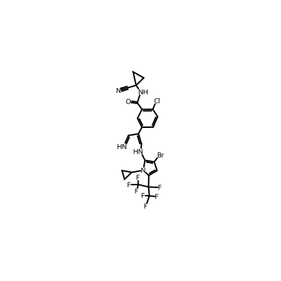 N#CC1(NC(=O)c2cc(/C(C=N)=C/Nc3c(Br)cc(C(F)(C(F)(F)F)C(F)(F)F)n3C3CC3)ccc2Cl)CC1